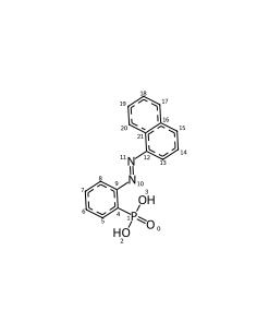 O=P(O)(O)c1ccccc1/N=N/c1cccc2ccccc12